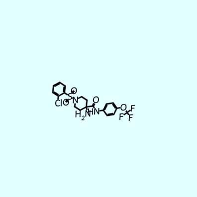 NC1(C(=O)Nc2ccc(OC(F)(F)F)cc2)CCN(S(=O)(=O)c2ccccc2Cl)CC1